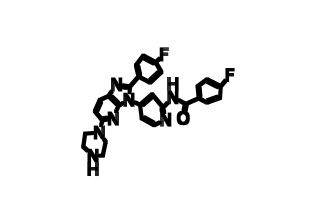 O=C(Nc1cc(-n2c(-c3ccc(F)cc3)nc3ccc(N4CCNCC4)nc32)ccn1)c1ccc(F)cc1